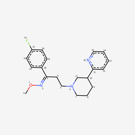 CON=C(CCN1CCCC(c2ccccn2)C1)c1ccc(F)cc1